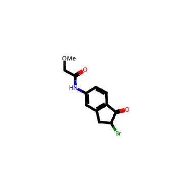 COCC(=O)Nc1ccc2c(c1)CC(Br)C2=O